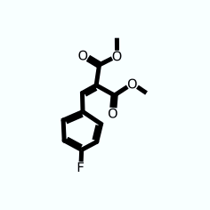 COC(=O)C(=Cc1ccc(F)cc1)C(=O)OC